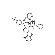 CC(C)(C)c1ccc2c(c1)c1ccccc1n2-c1ccc(-c2c(F)cccc2F)cc1-c1nc(-c2ccccc2)nc(-c2ccccc2)n1